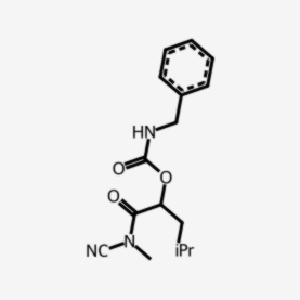 CC(C)CC(OC(=O)NCc1ccccc1)C(=O)N(C)C#N